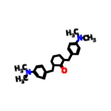 CN(C)c1ccc(CC2CCCC(Cc3ccc(N(C)C)cc3)C2=O)cc1